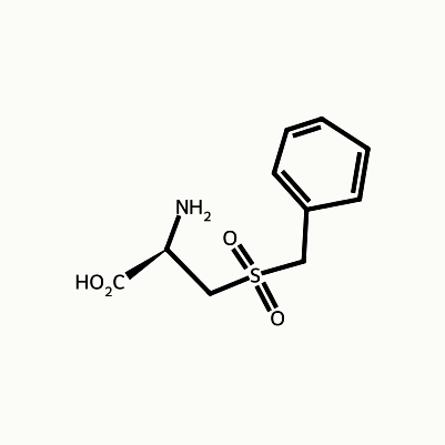 N[C@@H](CS(=O)(=O)Cc1ccccc1)C(=O)O